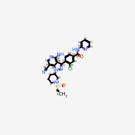 C=C[S+]([O-])N1CCCC(n2nc(-c3ccc(C(=O)Nc4ccccn4)cc3Cl)c3c(N)ncc(C#N)c32)C1